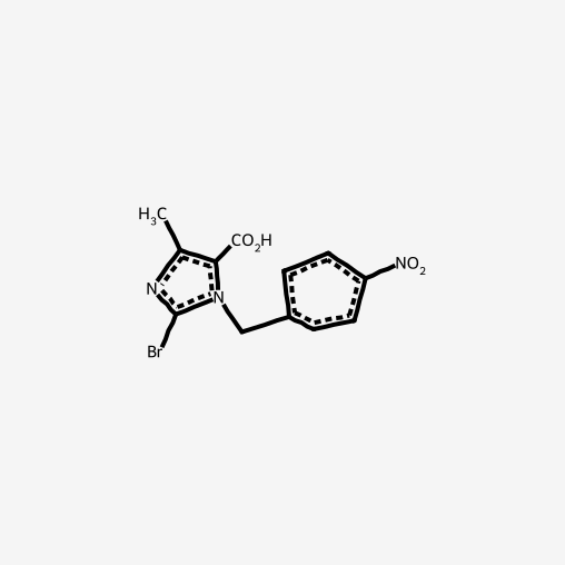 Cc1nc(Br)n(Cc2ccc([N+](=O)[O-])cc2)c1C(=O)O